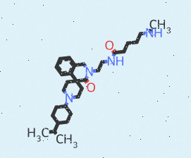 CNCCCCC(=O)NCCN1Cc2ccccc2C2(CCN(C3CCC(C(C)C)CC3)CC2)C1=O